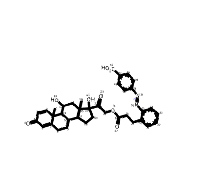 CC12C=CC(=O)C=C1CCC1C2C(O)CC2(C)C1CCC2(O)C(=O)COC(=O)CCc1ccccc1/N=N/c1ccc(C(=O)O)cc1